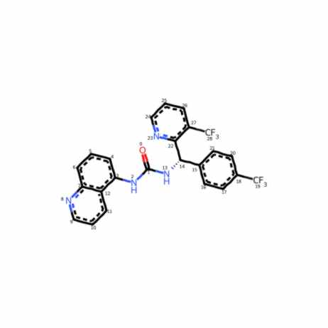 O=C(Nc1cccc2ncccc12)N[C@@H](c1ccc(C(F)(F)F)cc1)c1ncccc1C(F)(F)F